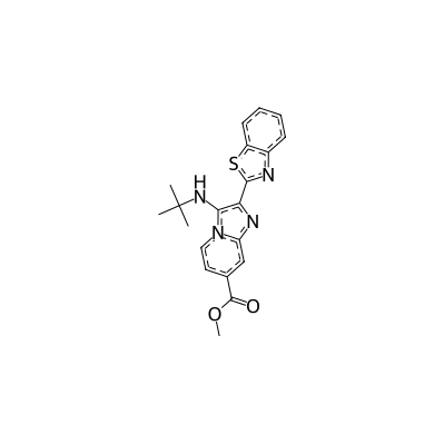 COC(=O)c1ccn2c(NC(C)(C)C)c(-c3nc4ccccc4s3)nc2c1